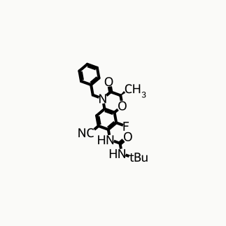 C[C@H]1Oc2c(cc(C#N)c(NC(=O)NC(C)(C)C)c2F)N(Cc2ccccc2)C1=O